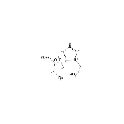 CC(=O)O.CCCCCCCCCCC[CH2][Na].O=C(O)CN1C=NCC1